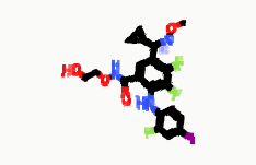 CO/N=C(/c1cc(C(=O)NOCCO)c(Nc2ccc(I)cc2F)c(F)c1F)C1CC1